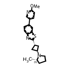 COc1ccc(-c2ccc3nc([C@H]4C[C@H](N5CCC[C@@H]5C)C4)sc3c2)cn1